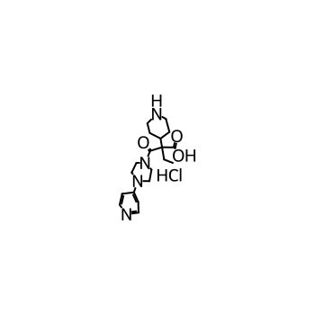 CCC(C(=O)O)(C(=O)N1CCN(c2ccncc2)CC1)C1CCNCC1.Cl